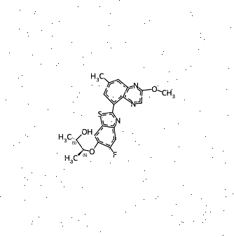 COc1cnc2c(-c3nc4cc(F)c(O[C@@H](C)[C@H](C)O)cc4s3)cc(C)cc2n1